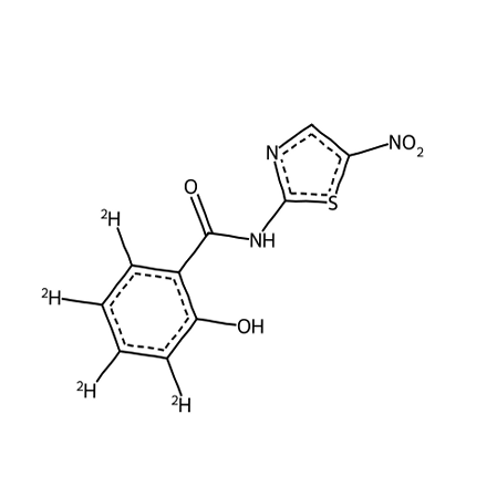 [2H]c1c([2H])c([2H])c(C(=O)Nc2ncc([N+](=O)[O-])s2)c(O)c1[2H]